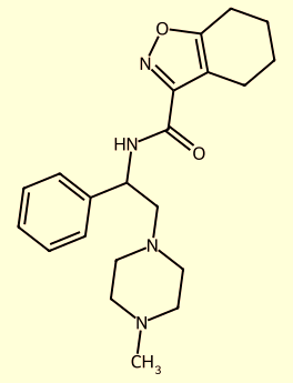 CN1CCN(CC(NC(=O)c2noc3c2CCCC3)c2ccccc2)CC1